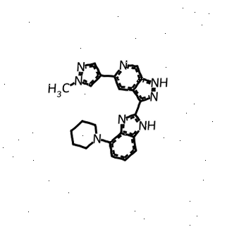 Cn1cc(-c2cc3c(-c4nc5c(N6CCCCC6)cccc5[nH]4)n[nH]c3cn2)cn1